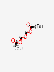 CC(C)(C)C(=O)OCOCOC(=O)C(C)(C)C